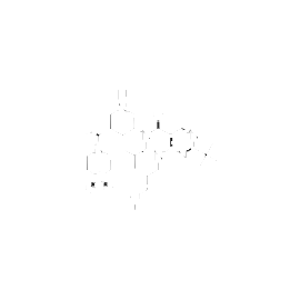 COCCCNc1nc(C(C)(C)C)ncc1C(=O)N(CC(C)C)[C@@H]1CNC[C@H](C(=O)N2CCS(=O)(=O)CC2)C1